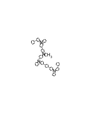 CN(c1ccc(Cn2c3ccccc3c3cc(-c4ccc(-c5ccc(N(c6ccccc6)c6cccc(-c7ccccc7)c6)cc5)cc4)ccc32)cc1)c1ccc(-c2ccc3c(c2)c2ccccc2n3-c2cccc(-c3ccccc3)c2)cc1